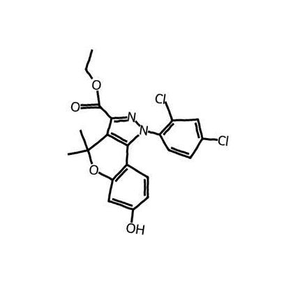 CCOC(=O)c1nn(-c2ccc(Cl)cc2Cl)c2c1C(C)(C)Oc1cc(O)ccc1-2